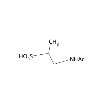 CC(=O)NCC(C)S(=O)(=O)O